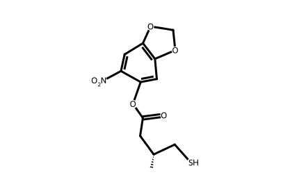 C[C@@H](CS)CC(=O)Oc1cc2c(cc1[N+](=O)[O-])OCO2